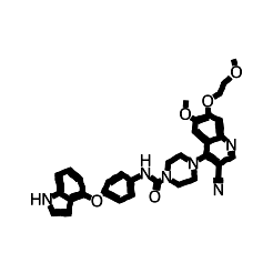 COCCOc1cc2ncc(C#N)c(N3CCN(C(=O)Nc4ccc(Oc5cccc6[nH]ccc56)cc4)CC3)c2cc1OC